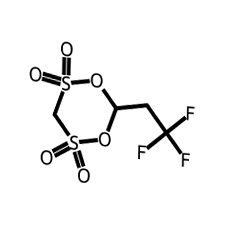 O=S1(=O)CS(=O)(=O)OC(CC(F)(F)F)O1